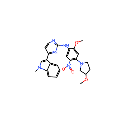 COc1cc(N2CCC(OC)C2)c([N+](=O)[O-])cc1Nc1nccc(-c2cn(C)c3ccccc23)n1